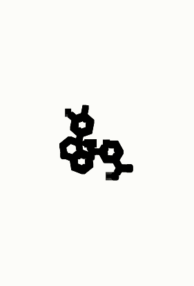 Cc1ccc([C@@]2(NC(=O)c3cc(C(=O)O)ccn3)CCOc3cccnc32)cc1F